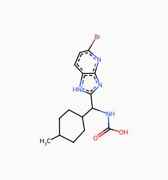 CC1CCC(C(NC(=O)O)c2nc3nc(Br)ccc3[nH]2)CC1